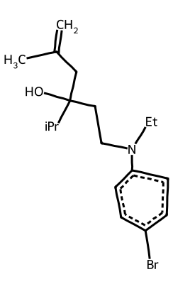 C=C(C)CC(O)(CCN(CC)c1ccc(Br)cc1)C(C)C